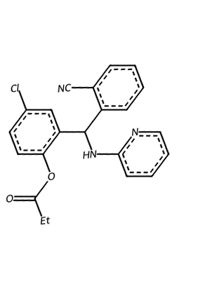 CCC(=O)Oc1ccc(Cl)cc1C(Nc1ccccn1)c1ccccc1C#N